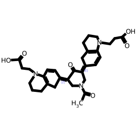 CC(=O)N1C/C(=C2/C=CC3=C(CCCN3CCC(=O)O)C2)C(=O)/C(=C2/C=CC3=C(CCCN3CCC(=O)O)C2)C1